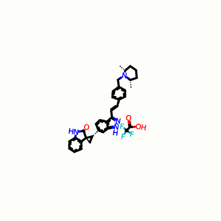 C[C@@H]1CCC[C@H](C)N1Cc1ccc(C=Cc2n[nH]c3cc([C@@H]4C[C@@]45C(=O)Nc4ccccc45)ccc23)cc1.O=C(O)C(F)(F)F